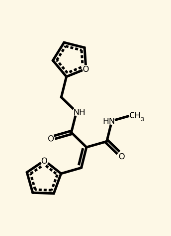 CNC(=O)/C(=C/c1ccco1)C(=O)NCc1ccco1